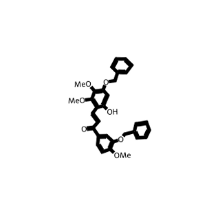 COc1ccc(C(=O)/C=C/c2c(O)cc(OCc3ccccc3)c(OC)c2OC)cc1OCc1ccccc1